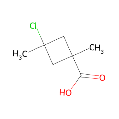 CC1(Cl)CC(C)(C(=O)O)C1